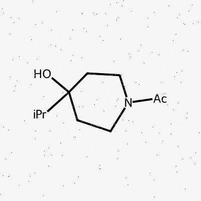 CC(=O)N1CCC(O)(C(C)C)CC1